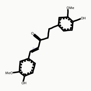 COc1cc(/C=C/C(=O)CCc2ccc(O)c(OC)c2)ccc1O